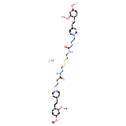 CCOc1ccc(/C=C/c2cc[n+](CCCC(=O)NCCSSCCNC(=O)CCC[n+]3ccc(/C=C/c4ccc(OCC)cc4OCC)cc3)cc2)c(OCC)c1.[Cl-].[Cl-]